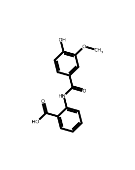 COc1cc(C(=O)Nc2ccccc2C(=O)O)ccc1O